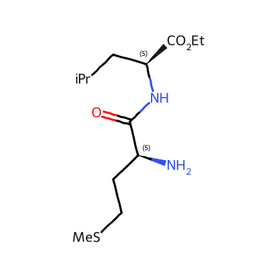 CCOC(=O)[C@H](CC(C)C)NC(=O)[C@@H](N)CCSC